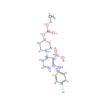 CCOC(=O)OC1CCN(c2ncnc(Nc3ccc(F)cc3)c2[N+](=O)[O-])CC1